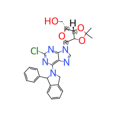 CC1(C)OC2[C@@H](O1)[C@@H](CO)O[C@H]2n1cnc2c(N3Cc4ccccc4C3c3ccccc3)nc(Cl)nc21